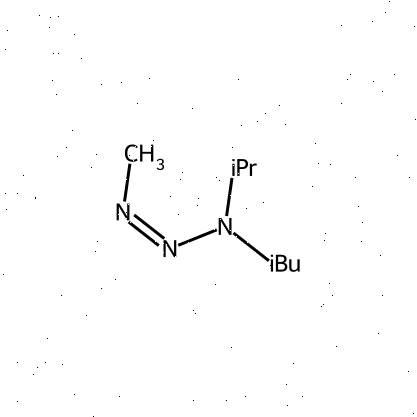 CCC(C)N(/N=N\C)C(C)C